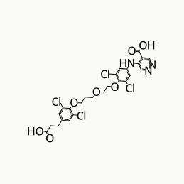 O=C(O)CCc1cc(Cl)c(OCCCOCCOc2c(Cl)cc(Nc3cnncc3C(=O)O)cc2Cl)c(Cl)c1